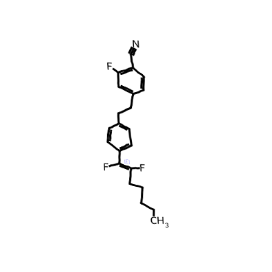 CCCCC/C(F)=C(\F)c1ccc(CCc2ccc(C#N)c(F)c2)cc1